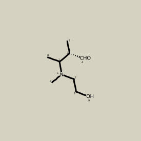 CC([C@H](C)C=O)N(C)CCO